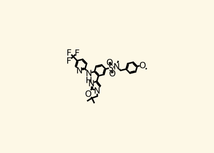 COc1ccc(CN(C)S(=O)(=O)c2ccc(Nc3ccc(C(F)(F)F)cn3)c(-c3cn4c(n3)OC(C)(C)C4)c2)cc1